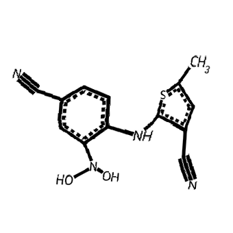 Cc1cc(C#N)c(Nc2ccc(C#N)cc2N(O)O)s1